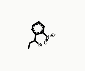 CCC(Br)c1ccccc1[N+](=O)[O-]